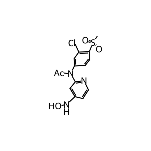 CC(=O)N(c1ccc(S(C)(=O)=O)c(Cl)c1)c1cc(NO)ccn1